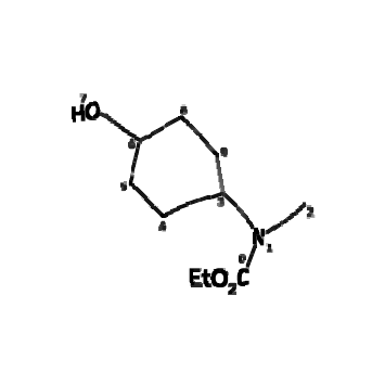 CCOC(=O)N(C)C1CCC(O)CC1